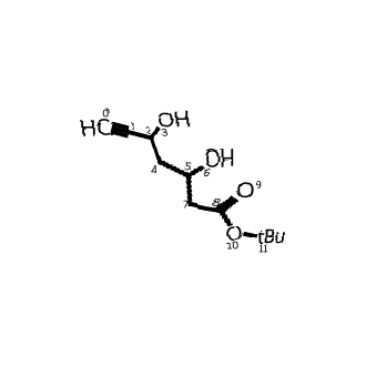 C#CC(O)CC(O)CC(=O)OC(C)(C)C